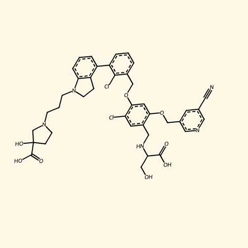 N#Cc1cncc(COc2cc(OCc3cccc(-c4cccc5c4CCN5CCCN4CCC(O)(C(=O)O)C4)c3Cl)c(Cl)cc2CNC(CO)C(=O)O)c1